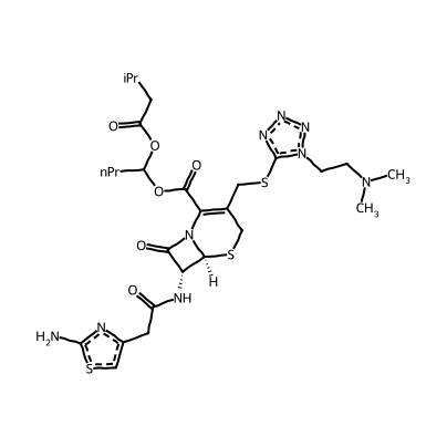 CCCC(OC(=O)CC(C)C)OC(=O)C1=C(CSc2nnnn2CCN(C)C)CS[C@H]2[C@H](NC(=O)Cc3csc(N)n3)C(=O)N12